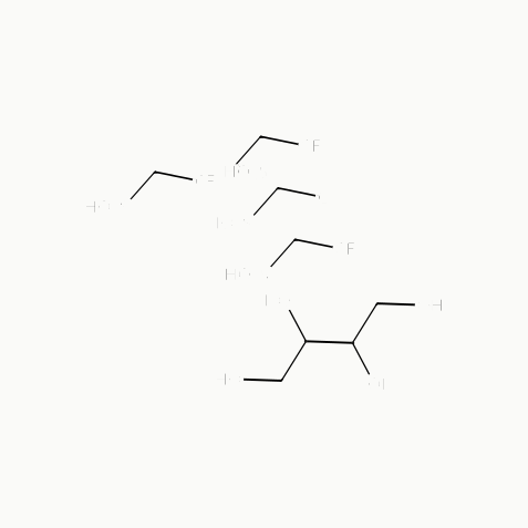 O=S(=O)(O)CC(F)(F)F.O=S(=O)(O)CC(F)(F)F.O=S(=O)(O)CC(F)(F)F.O=S(=O)(O)CC(F)(F)F.OCC(O)C(O)CO